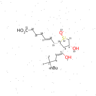 CCCCC(C)(C)CC=C(O)[C@H]1[C@@H](O)C[S@+]([O-])[C@H]1CC=CCCCC(=O)O